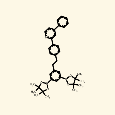 CC1(C)OB(c2cc(CCc3ccc(-c4cc(-c5ccccc5)ccn4)cc3)cc(B3OC(C)(C)C(C)(C)O3)c2)OC1(C)C